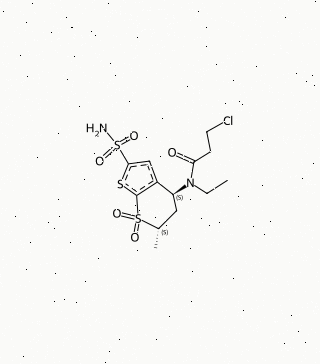 CCN(C(=O)CCCl)[C@H]1C[C@H](C)S(=O)(=O)c2sc(S(N)(=O)=O)cc21